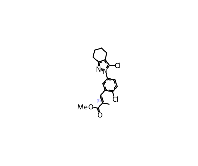 COC(=O)/C(C)=C/c1cc(-n2nc3c(c2Cl)CCCC3)ccc1Cl